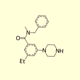 CCc1cc(C(=O)N(C)Cc2ccccc2)cc(N2CCNCC2)c1